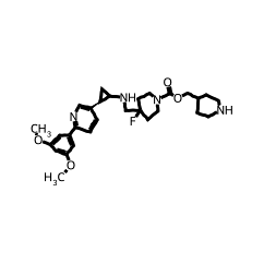 COc1cc(OC)cc(-c2ccc([C@H]3CC3NCC3(F)CCN(C(=O)OCC4CCNCC4)CC3)cn2)c1